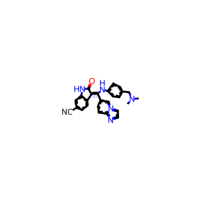 CN(C)Cc1ccc(N/C(=C2\C(=O)Nc3cc(C#N)ccc32)c2ccc3nccn3c2)cc1